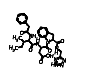 CCC(C)C(NC(=O)Cc1ccccc1)C(=O)NC(CC(=O)O)C(=O)N1c2ccccc2C[C@H]1C(=O)NCc1nn[nH]n1